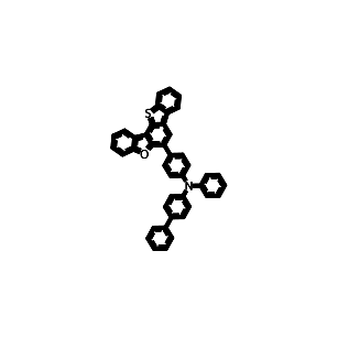 c1ccc(-c2ccc(N(c3ccccc3)c3ccc(-c4cc5c6ccccc6sc5c5c4oc4ccccc45)cc3)cc2)cc1